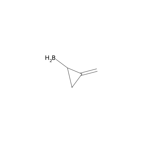 BC1CC1=C